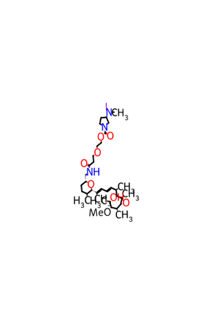 CO[C@H]([C@@H](C)[C@H]1O[C@]1(C)C[C@H](C)/C=C/C=C(\C)[C@H]1O[C@@H](CNC(=O)CCOCCOC(=O)N2CCC(N(C)I)C2)CC[C@@H]1C)[C@@H](C)O